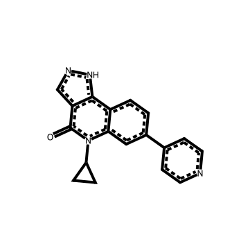 O=c1c2cn[nH]c2c2ccc(-c3ccncc3)cc2n1C1CC1